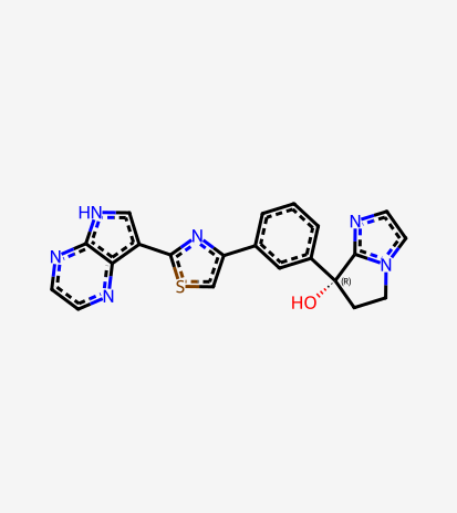 O[C@@]1(c2cccc(-c3csc(-c4c[nH]c5nccnc45)n3)c2)CCn2ccnc21